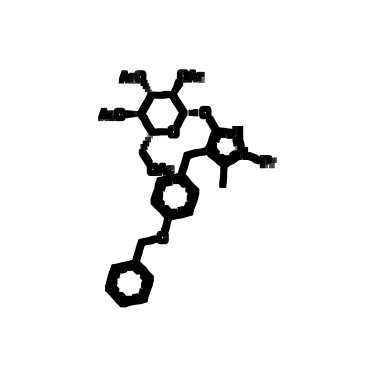 CC(=O)OC[C@H]1O[C@@H](Oc2nn(C(C)C)c(C)c2Cc2ccc(OCc3ccccc3)cc2)[C@H](OC(C)=O)[C@@H](OC(C)=O)[C@@H]1OC(C)=O